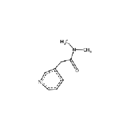 CN(C)C(=O)Cc1cccnc1